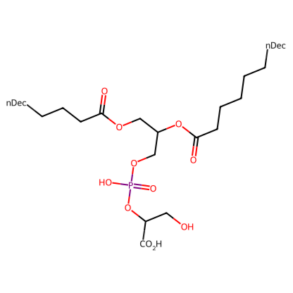 CCCCCCCCCCCCCCCC(=O)OC(COC(=O)CCCCCCCCCCCCC)COP(=O)(O)OC(CO)C(=O)O